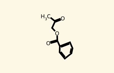 CC(=O)COC(=O)c1ccccc1